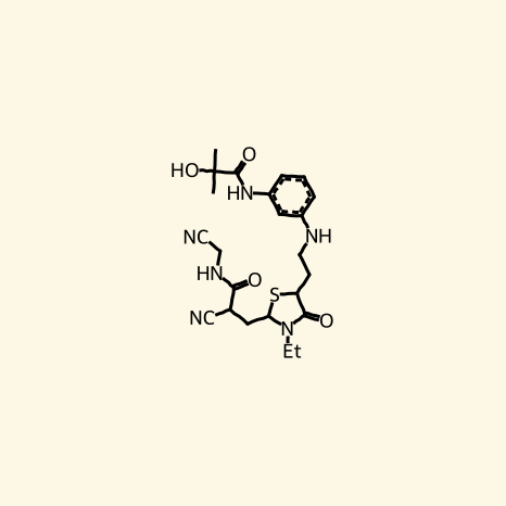 CCN1C(=O)C(CCNc2cccc(NC(=O)C(C)(C)O)c2)SC1CC(C#N)C(=O)NCC#N